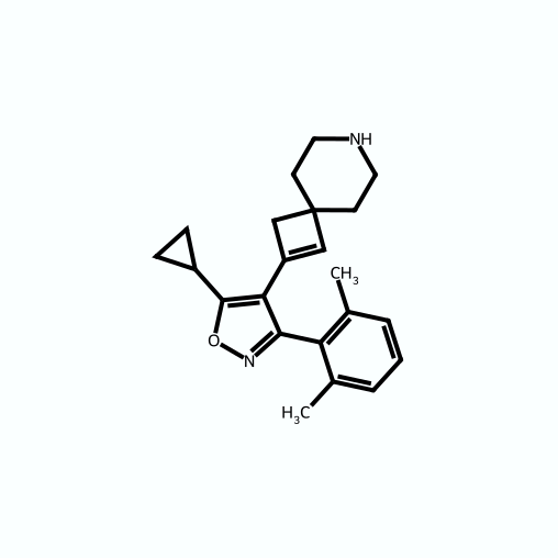 Cc1cccc(C)c1-c1noc(C2CC2)c1C1=CC2(CCNCC2)C1